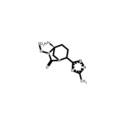 Cc1nnc(C2CC[C@@H]3CN2C(=O)N3OS(=O)(=O)O)o1